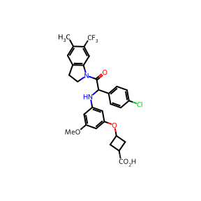 COc1cc(NC(C(=O)N2CCc3cc(C)c(C(F)(F)F)cc32)c2ccc(Cl)cc2)cc(OC2CC(C(=O)O)C2)c1